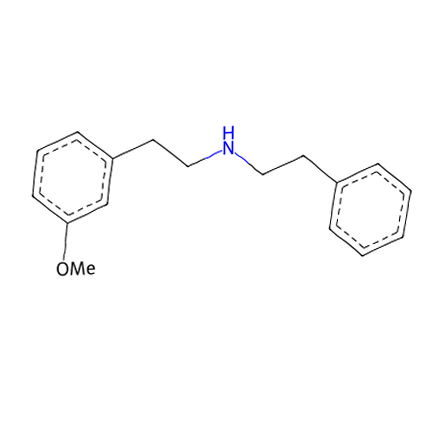 COc1cccc(CCNCCc2ccccc2)c1